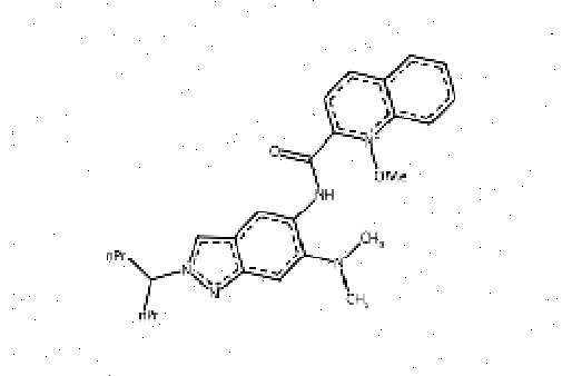 CCCC(CCC)n1cc2cc(NC(=O)c3ccc4ccccc4[n+]3OC)c(N(C)C)cc2n1